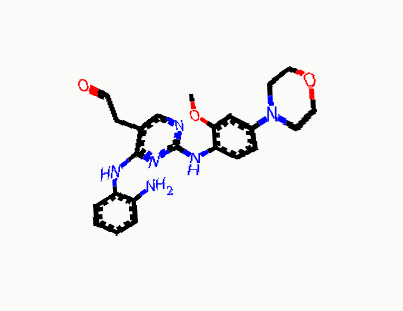 COc1cc(N2CCOCC2)ccc1Nc1ncc(CC=O)c(Nc2ccccc2N)n1